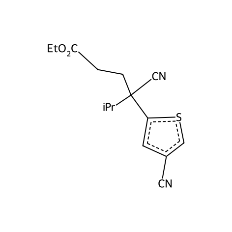 CCOC(=O)CCC(C#N)(c1cc(C#N)cs1)C(C)C